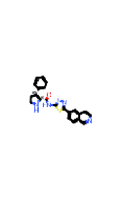 O=C(Nc1nnc(-c2ccc3cnccc3c2)s1)[C@@H]1NCC[C@@H]1c1ccccc1